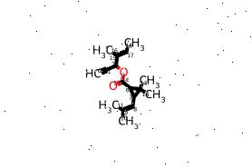 C#CC(OC(=O)C1C(C=C(C)C)C1(C)C)C(C)=CC